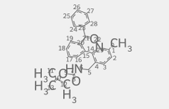 Cc1ccc(CNC(=O)OC(C)(C)C)c(-c2ccccc2C(=O)c2ccccc2)n1